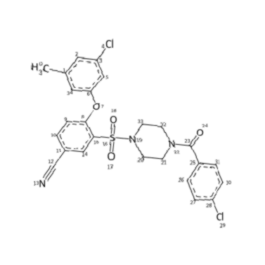 Cc1cc(Cl)cc(Oc2ccc(C#N)cc2S(=O)(=O)N2CCN(C(=O)c3ccc(Cl)cc3)CC2)c1